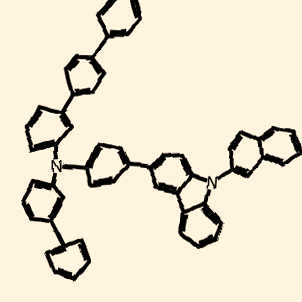 c1ccc(-c2ccc(-c3cccc(N(c4ccc(-c5ccc6c(c5)c5ccccc5n6-c5ccc6ccccc6c5)cc4)c4cccc(-c5ccccc5)c4)c3)cc2)cc1